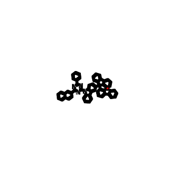 c1ccc(-c2nc(-c3ccc4ccccc4c3)nc(-n3c4ccccc4c4cc(C5(c6cccc7c6oc6ccccc67)c6ccccc6-c6ccccc65)ccc43)n2)cc1